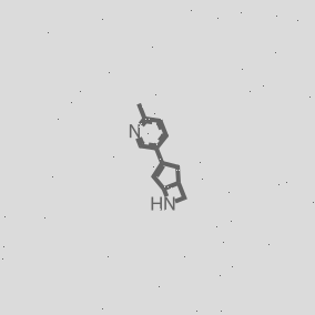 Cc1ccc(C2=CC3NCC3C2)cn1